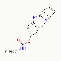 CCCCCCCNC(=O)Oc1ccc2c(c1)CN1C(=N2)C2C=CC1C2